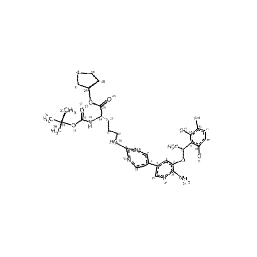 CC(Oc1cc(-c2cnc(NCCC[C@H](NC(=O)OC(C)(C)C)C(=O)OC3CCCC3)nc2)cnc1N)c1c(Cl)ccc(F)c1Cl